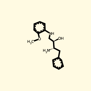 COc1ccccc1NC[C@@H](O)[C@@H](N)Cc1ccccc1